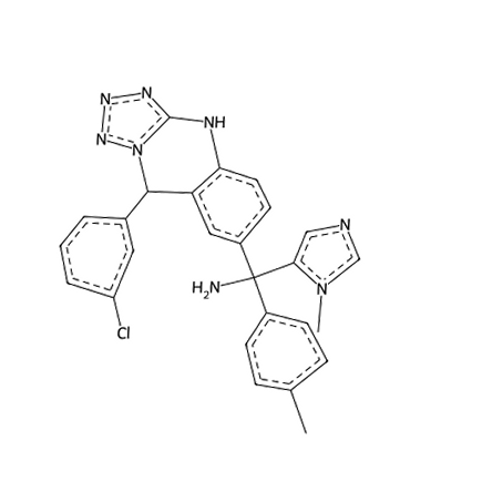 Cc1ccc(C(N)(c2ccc3c(c2)C(c2cccc(Cl)c2)n2nnnc2N3)c2cncn2C)cc1